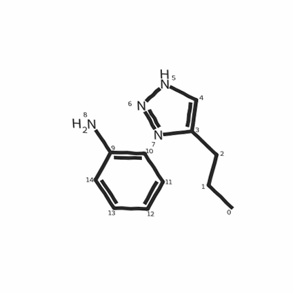 CCCc1c[nH]nn1.Nc1ccccc1